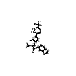 Cc1nc(C2=CC=C(C(F)(F)F)NN2)ccc1[C@@H]1C(C2CC2)C(=O)N1c1ccc2[nH]cnc2c1